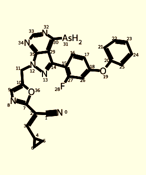 N#C/C(=C\C1CC1)c1ncc(Cn2nc(-c3ccc(Oc4ccccc4)cc3F)c3c([AsH2])ncnc32)o1